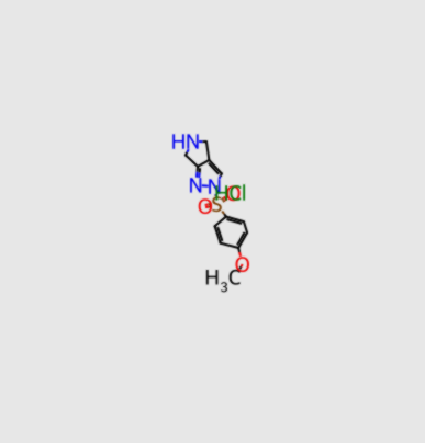 COc1ccc(S(=O)(=O)n2cc3c(n2)CNC3)cc1.Cl